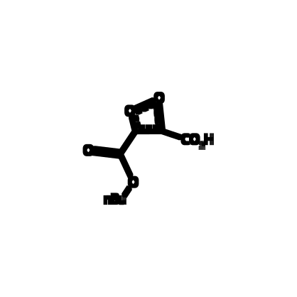 CCCCOC(=O)c1ooc1C(=O)O